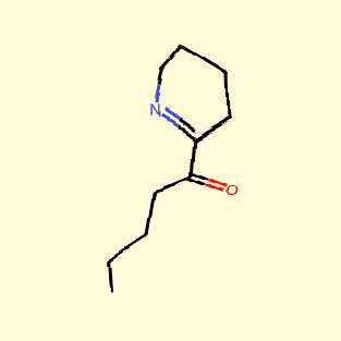 CCCCC(=O)C1=NCCCC1